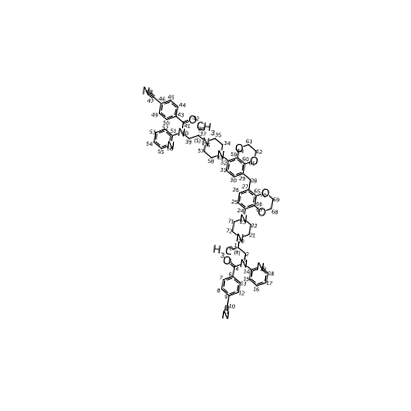 C[C@H](CN(C(=O)c1ccc(C#N)cc1)c1ccccn1)N1CCN(c2ccc(Cc3ccc(N4CCN([C@@H](C)CN(C(=O)c5ccc(C#N)cc5)c5ccccn5)CC4)c4c3OCCO4)c3c2OCCO3)CC1